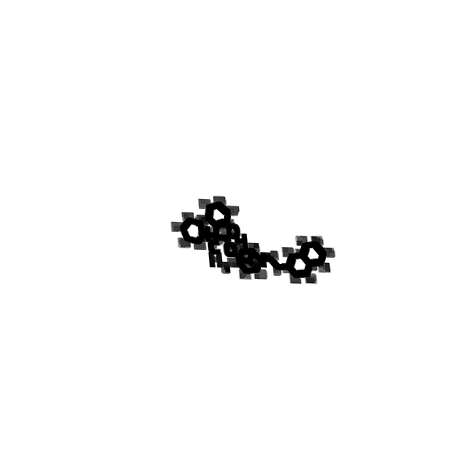 C[C@@](C(=O)O[C@H]1C[N+]2(CCc3ccc4ccccc4c3)CCC1CC2)(c1ccccc1)N1CCCCC1